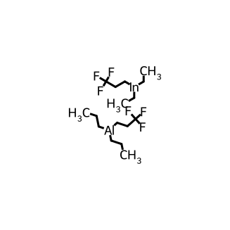 CC[CH2][Al]([CH2]CC)[CH2]CC(F)(F)F.C[CH2][In]([CH2]C)[CH2]CC(F)(F)F